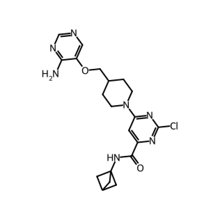 Nc1ncncc1OCC1CCN(c2cc(C(=O)NC34CC(C3)C4)nc(Cl)n2)CC1